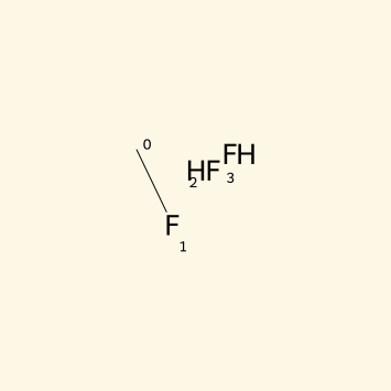 CF.F.F